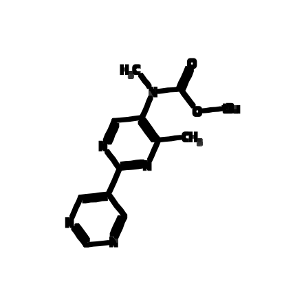 Cc1nc(-c2cncnc2)ncc1N(C)C(=O)OC(C)(C)C